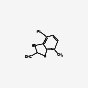 Cc1ccc(C(C)C)c2c1OC(C=O)N2